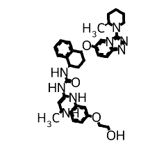 CC(=N)/C=C(/NC(=O)N[C@H]1CC[C@@H](Oc2ccc3nnc(N4CCCC[C@@H]4C)n3c2)c2ccccc21)Nc1cccc(OCCO)c1